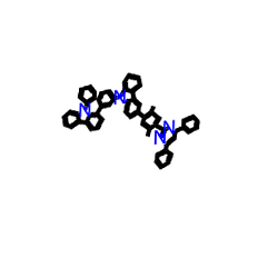 Cc1cc(-c2nc(-c3ccccc3)cc(-c3ccccc3)n2)c(C)cc1-c1ccc2c(c1)c1ccccc1n2-c1cccc(-c2cccc3c4ccccc4n(-c4ccccc4)c23)c1